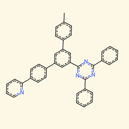 Cc1ccc(-c2cc(-c3ccc(-c4ccccn4)cc3)cc(-c3nc(-c4ccccc4)nc(-c4ccccc4)n3)c2)cc1